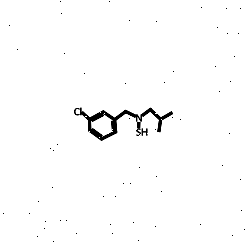 CC(C)CN(S)Cc1cccc(Cl)c1